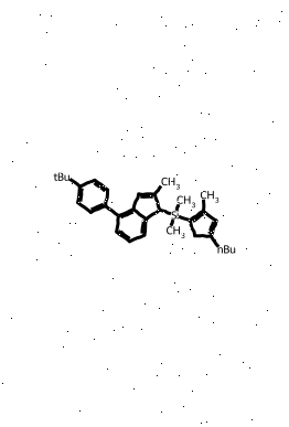 CCCCC1=CC(C)=C([Si](C)(C)C2C(C)=Cc3c(-c4ccc(C(C)(C)C)cc4)cccc32)C1